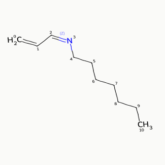 C=C/C=N\CCCCCCC